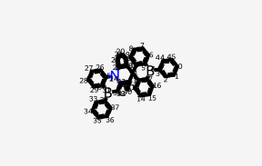 c1ccc(B2c3ccccc3C3(c4ccccc42)c2ccccc2N2c4ccccc4B(c4ccccc4)c4cccc3c42)cc1